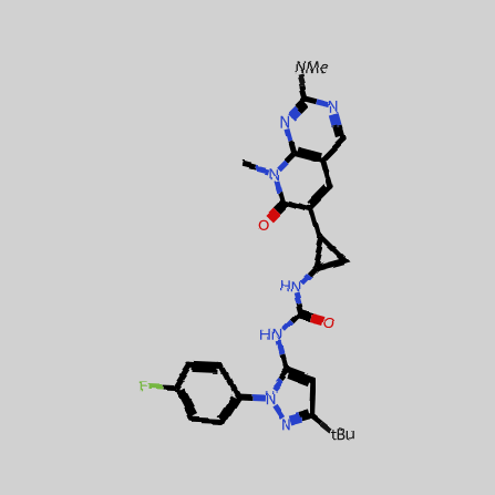 CNc1ncc2cc(C3CC3NC(=O)Nc3cc(C(C)(C)C)nn3-c3ccc(F)cc3)c(=O)n(C)c2n1